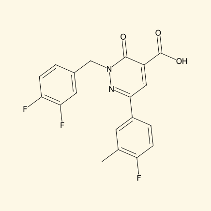 Cc1cc(-c2cc(C(=O)O)c(=O)n(Cc3ccc(F)c(F)c3)n2)ccc1F